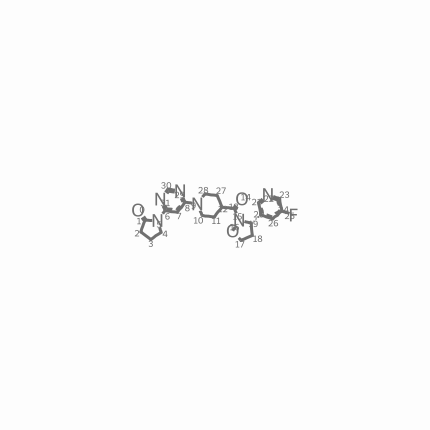 O=C1CCCN1c1cc(N2CCC(C(=O)N3OCC[C@H]3c3cncc(F)c3)CC2)ncn1